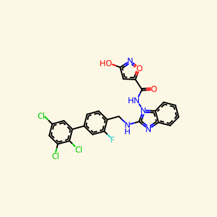 O=C(Nn1c(NCc2ccc(-c3cc(Cl)cc(Cl)c3Cl)cc2F)nc2ccccc21)c1cc(O)no1